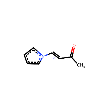 CC(=O)/C=C/n1cccc1